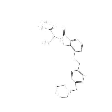 CCCC(C(=O)NC=O)N1Cc2c(OCc3ccc(CN4CCOCC4)cc3)cccc2C1=O